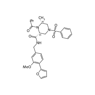 COc1cc(CNC(=O)[C@H]2CN(S(=O)(=O)c3ccccc3)C[C@@H](C)N2C(=O)C(C)C)ccc1-c1ccco1